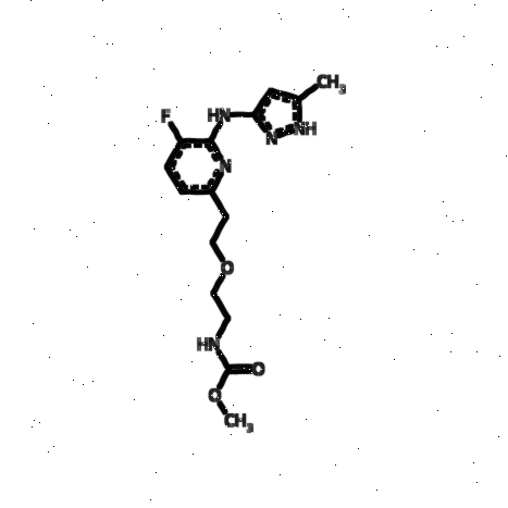 COC(=O)NCCOCCc1ccc(F)c(Nc2cc(C)[nH]n2)n1